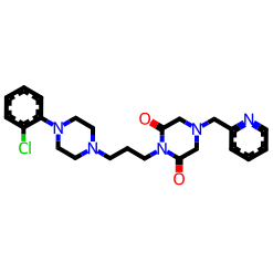 O=C1CN(Cc2ccccn2)CC(=O)N1CCCN1CCN(c2ccccc2Cl)CC1